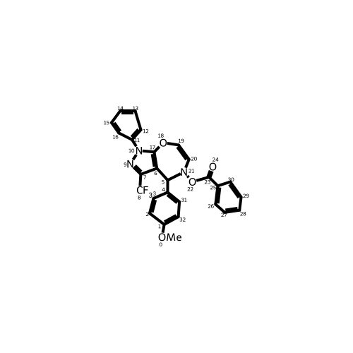 COc1ccc(C2c3c(C(F)(F)F)nn(-c4ccccc4)c3OC=CN2OC(=O)c2ccccc2)cc1